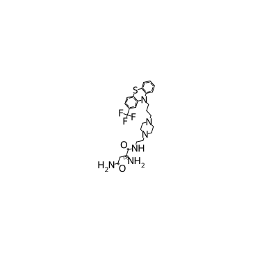 NC(=O)C[C@H](N)C(=O)NCCN1CCN(CCCN2c3ccccc3Sc3ccc(C(F)(F)F)cc32)CC1